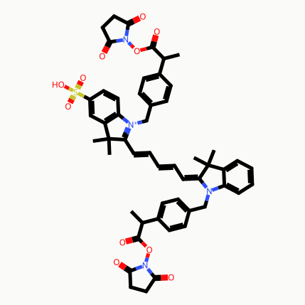 CC(C(=O)ON1C(=O)CCC1=O)c1ccc(CN2/C(=C/C=C/C=C/C3=[N+](Cc4ccc(C(C)C(=O)ON5C(=O)CCC5=O)cc4)c4ccc(S(=O)(=O)O)cc4C3(C)C)C(C)(C)c3ccccc32)cc1